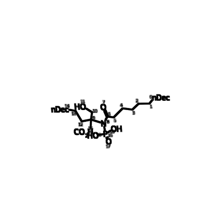 CCCCCCCCCCCCCCCC(=O)N(C(CO)(CCCCCCCCCCCC)C(=O)O)P(=O)(O)O